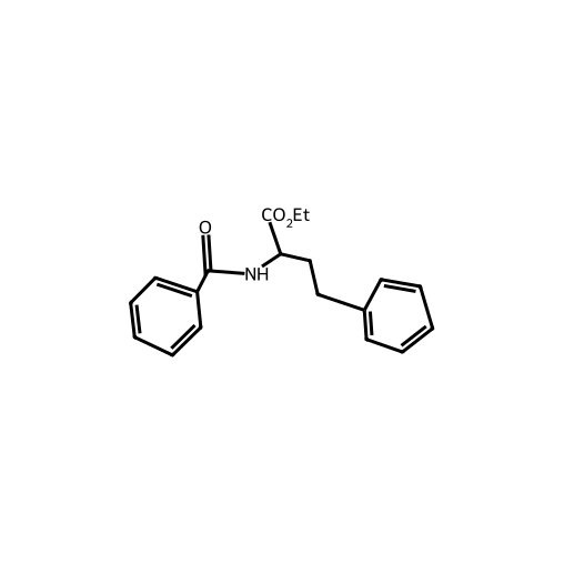 CCOC(=O)C(CCc1ccccc1)NC(=O)c1ccccc1